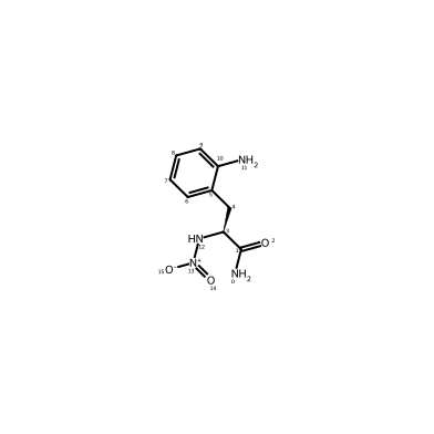 NC(=O)[C@H](Cc1ccccc1N)N[N+](=O)[O-]